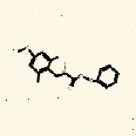 COc1cc(C)c(C[C@H](C)C(=O)OCc2ccccc2)c(C)c1